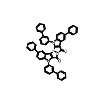 O=c1c2c3cc(-c4ccccc4)ccc3n(-c3cccc(-c4ccccc4)c3)c2n2c3c4cc(-c5ccccc5)ccc4n(-c4cccc(-c5ccccc5)c4)c3c(=O)n12